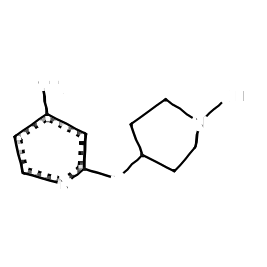 CN1CCC(Sc2cc(C(=O)O)ccn2)CC1